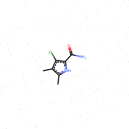 Cc1[nH]c(C(N)=O)c(Cl)c1C